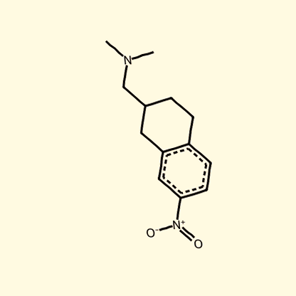 CN(C)CC1CCc2ccc([N+](=O)[O-])cc2C1